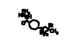 CCC(C)(C)CN(C)C1CCCC(C(=O)NNP)CCC1